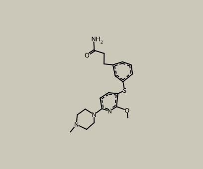 COc1nc(N2CCN(C)CC2)ccc1Sc1cccc(CCC(N)=O)c1